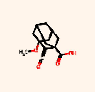 COC12CC3CC(C1)CC(C(=O)O)(C3)C2=C=O